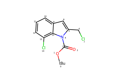 CC(C)(C)OC(=O)n1c(CCl)cc2cccc(Cl)c21